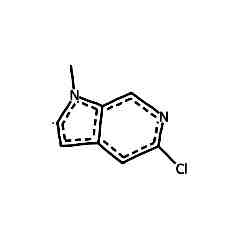 Cn1[c]cc2cc(Cl)ncc21